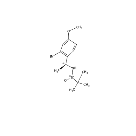 COc1ccc([C@H](C)N[S@@+]([O-])C(C)(C)C)c(Br)c1